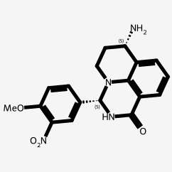 COc1ccc([C@H]2NC(=O)c3cccc4c3N2CC[C@@H]4N)cc1[N+](=O)[O-]